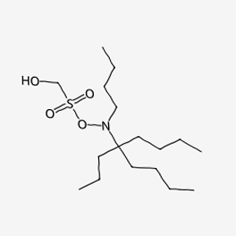 CCCCN(OS(=O)(=O)CO)C(CCC)(CCCC)CCCC